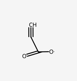 C#CC([O])=O